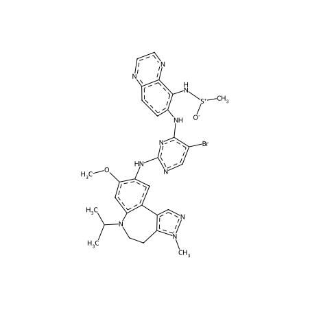 COc1cc2c(cc1Nc1ncc(Br)c(Nc3ccc4nccnc4c3N[S+](C)[O-])n1)-c1cnn(C)c1CCN2C(C)C